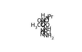 Cc1cc(Nc2ncnc(N)c2Cl)c(=O)n2c1C(=O)NC21CCCN(C(C)C)C1